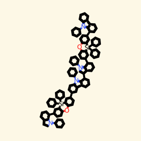 c1ccc(-n2ccc3cccc(-c4ccc5c(c4)[Si](c4ccccc4)(c4ccccc4)c4cc(-c6ccc7c(c6)c6cccc(-c8cn(-c9ccccc9)c9c(-c%10ccc%11c(c%10)[Si](c%10ccccc%10)(c%10ccccc%10)c%10cc(-c%12cccc%13c%14ccccc%14n(-c%14ccccc%14)c%12%13)ccc%10O%11)cccc89)c6n7-c6ccccc6)ccc4O5)c32)cc1